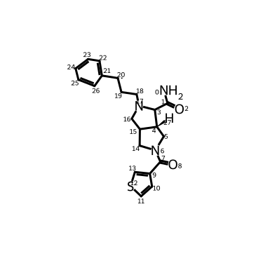 NC(=O)C1[C@@H]2CN(C(=O)c3ccsc3)CC2CN1CC[CH]c1ccccc1